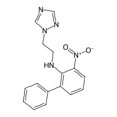 O=[N+]([O-])c1cccc(-c2ccccc2)c1NCCn1cncn1